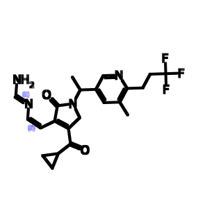 Cc1cc(C(C)N2CC(C(=O)C3CC3)=C(/C=C\N=C\N)C2=O)cnc1CCC(F)(F)F